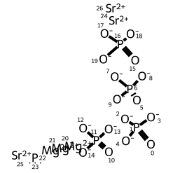 O=P([O-])([O-])[O-].O=P([O-])([O-])[O-].O=P([O-])([O-])[O-].O=P([O-])([O-])[O-].[Mg+2].[Mg+2].[Mg+2].[P].[Sr+2].[Sr+2].[Sr+2]